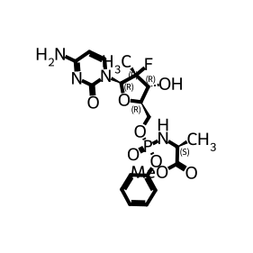 COC(=O)[C@H](C)NP(=O)(OC[C@H]1O[C@@H](n2ccc(N)nc2=O)[C@](C)(F)[C@@H]1O)Oc1ccccc1